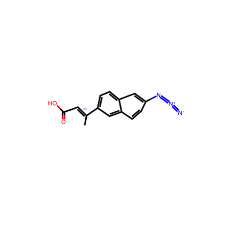 C/C(=C\C(=O)O)c1ccc2cc(N=[N+]=[N-])ccc2c1